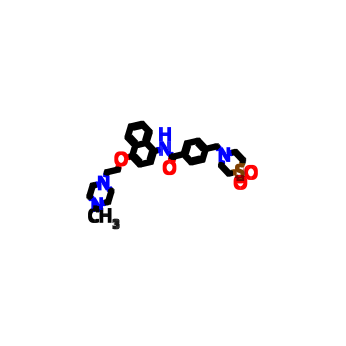 CN1CCN(CCOc2ccc(NC(=O)c3ccc(CN4CCS(=O)(=O)CC4)cc3)c3ccccc23)CC1